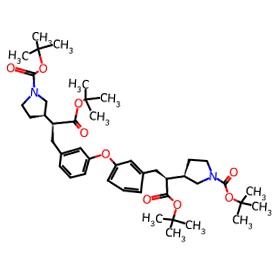 CC(C)(C)OC(=O)[C@@H](Cc1cccc(Oc2cccc(C[C@H](C(=O)OC(C)(C)C)[C@H]3CCN(C(=O)OC(C)(C)C)C3)c2)c1)[C@H]1CCN(C(=O)OC(C)(C)C)C1